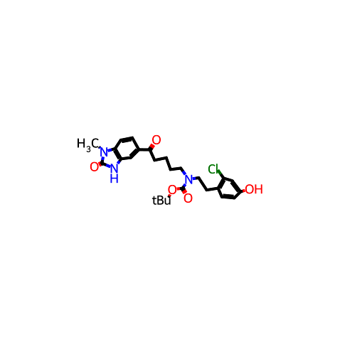 Cn1c(=O)[nH]c2cc(C(=O)CCCCN(CCc3ccc(O)cc3Cl)C(=O)OC(C)(C)C)ccc21